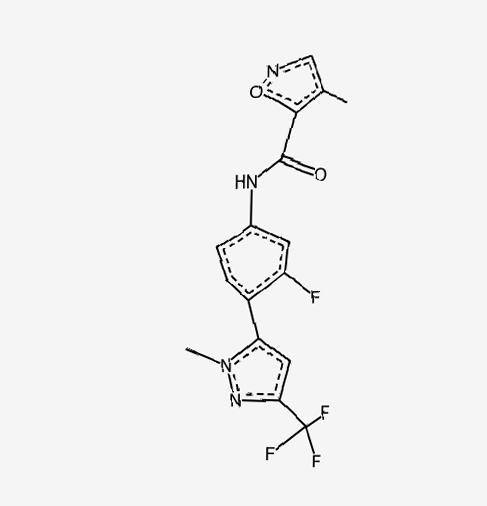 Cc1cnoc1C(=O)Nc1ccc(-c2cc(C(F)(F)F)nn2C)c(F)c1